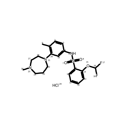 Cc1ccc(NS(=O)(=O)c2ccccc2OC(F)F)cc1N1CCCN(C)CC1.Cl